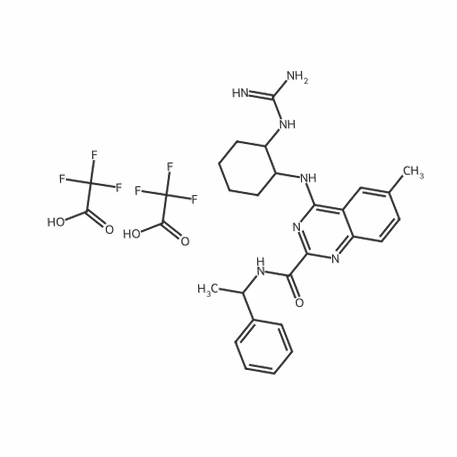 Cc1ccc2nc(C(=O)NC(C)c3ccccc3)nc(NC3CCCCC3NC(=N)N)c2c1.O=C(O)C(F)(F)F.O=C(O)C(F)(F)F